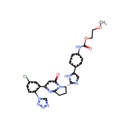 COCCOC(=O)Nc1ccc(-c2cnc([C@@H]3CCc4nc(-c5cc(Cl)ccc5-n5cnnn5)cc(=O)n43)[nH]2)cc1